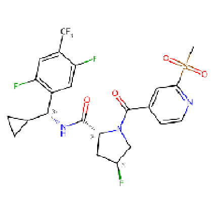 CS(=O)(=O)c1cc(C(=O)N2C[C@@H](F)C[C@@H]2C(=O)N[C@@H](c2cc(F)c(C(F)(F)F)cc2F)C2CC2)ccn1